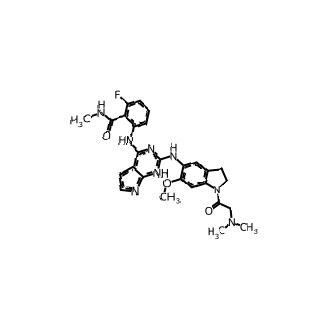 CNC(=O)c1c(F)cccc1Nc1nc(Nc2cc3c(cc2OC)N(C(=O)CN(C)C)CC3)[nH]c2nccc1-2